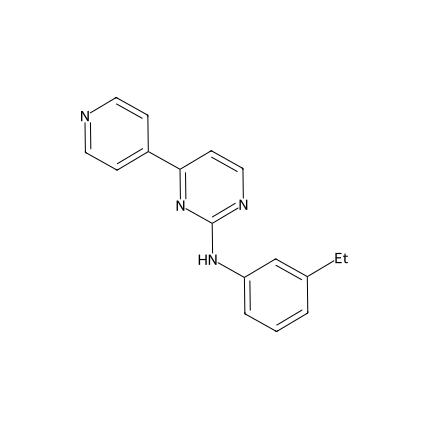 CCc1cccc(Nc2nccc(-c3ccncc3)n2)c1